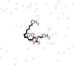 C=CCN1C(=O)/C(=C\c2ccc(CCCCC)o2)SC1=S